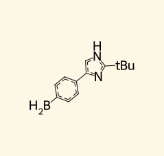 Bc1ccc(-c2c[nH]c(C(C)(C)C)n2)cc1